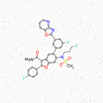 CNC(=O)c1c(-c2ccc(F)cc2)oc2cc(N(CCCF)S(C)(=O)=O)c(-c3cc(F)cc(-c4nc5ncccc5o4)c3)cc12